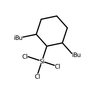 CCC(C)C1CCCC(C(C)CC)C1[Si](Cl)(Cl)Cl